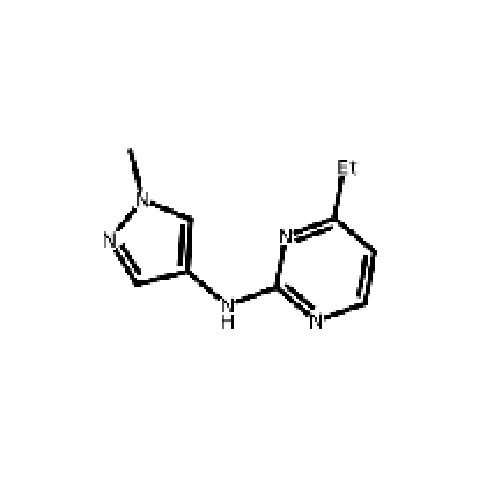 CCc1ccnc(Nc2cnn(C)c2)n1